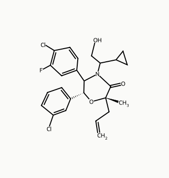 C=CC[C@]1(C)O[C@H](c2cccc(Cl)c2)C(c2ccc(Cl)c(F)c2)N(C(CO)C2CC2)C1=O